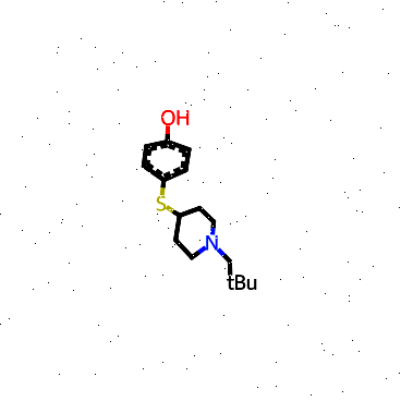 CC(C)(C)CN1CCC(Sc2ccc(O)cc2)CC1